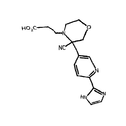 N#CC1(c2ccc(-c3ncc[nH]3)nc2)COCCN1CCC(=O)O